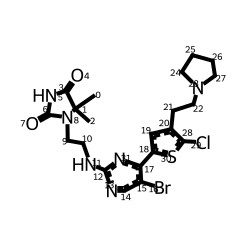 CC1(C)C(=O)NC(=O)N1CCNc1ncc(Br)c(-c2cc(CCN3CCCC3)c(Cl)s2)n1